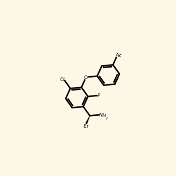 CC[C@H](N)c1ccc(Cl)c(Oc2cccc(C(C)=O)c2)c1F